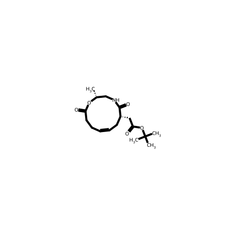 C[C@@H]1CNC(=O)[C@H](CC(=O)OC(C)(C)C)CC=CCCC(=O)O1